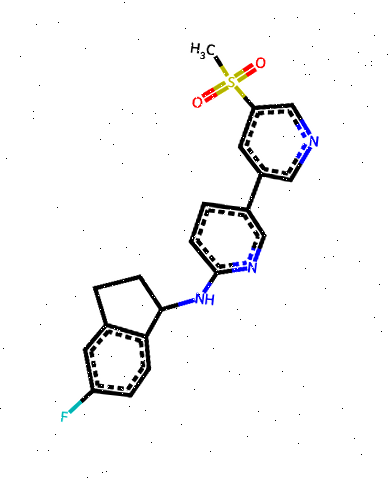 CS(=O)(=O)c1cncc(-c2ccc(NC3CCc4cc(F)ccc43)nc2)c1